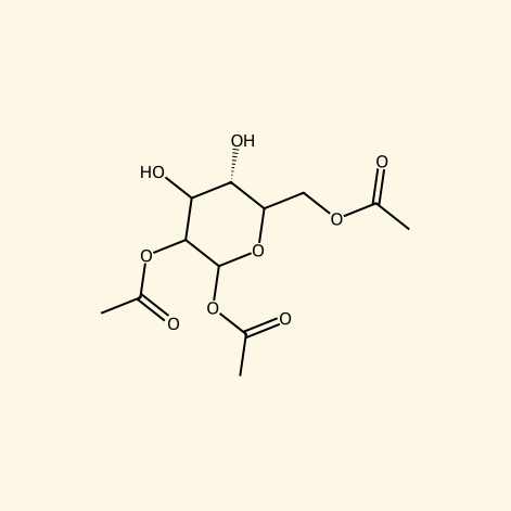 CC(=O)OCC1OC(OC(C)=O)C(OC(C)=O)C(O)[C@@H]1O